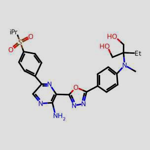 CCC(CO)(CO)N(C)c1ccc(-c2nnc(-c3nc(-c4ccc(S(=O)(=O)C(C)C)cc4)cnc3N)o2)cc1